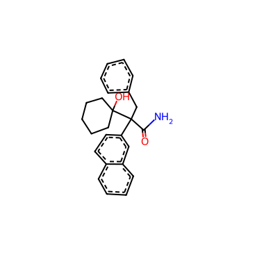 NC(=O)C(Cc1ccccc1)(c1ccc2ccccc2c1)C1(O)CCCCC1